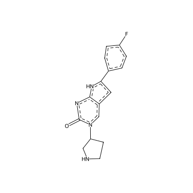 O=c1nc2[nH]c(-c3ccc(F)cc3)cc2cn1C1CCNC1